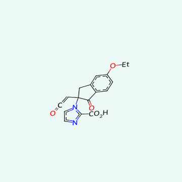 CCOc1ccc2c(c1)CC(C=C=O)(n1ccnc1C(=O)O)C2=O